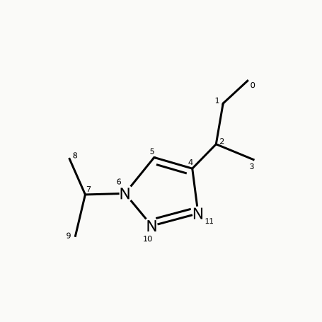 CCC(C)c1cn(C(C)C)nn1